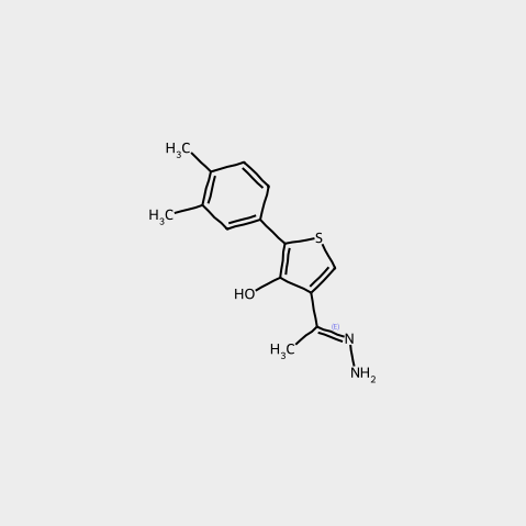 C/C(=N\N)c1csc(-c2ccc(C)c(C)c2)c1O